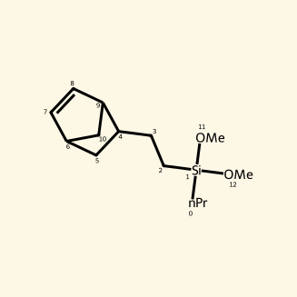 CCC[Si](CCC1CC2C=CC1C2)(OC)OC